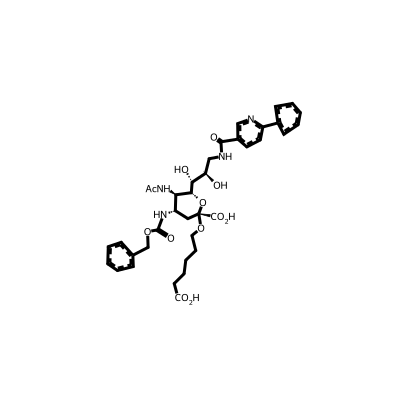 CC(=O)N[C@H]1[C@H]([C@H](O)[C@H](O)CNC(=O)c2ccc(-c3ccccc3)nc2)O[C@@](OCCCCCC(=O)O)(C(=O)O)C[C@@H]1NC(=O)OCc1ccccc1